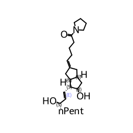 CCCCC[C@H](O)/C=C/[C@@H]1[C@H]2CC(=CCCCC(=O)N3CCCC3)C[C@H]2C[C@H]1O